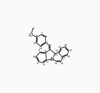 COc1ccc(C=C2c3ccccc3N3C=Cc4ccccc4C23)cc1